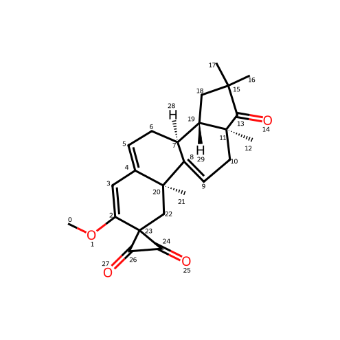 COC1=CC2=CC[C@@H]3C(=CC[C@]4(C)C(=O)C(C)(C)C[C@@H]34)[C@@]2(C)CC12C(=O)C2=O